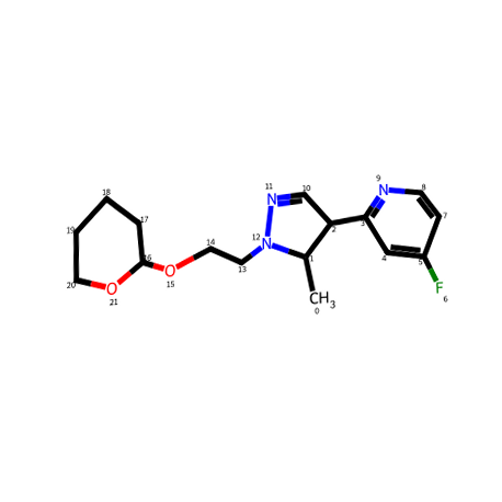 CC1C(c2cc(F)ccn2)C=NN1CCOC1CCCCO1